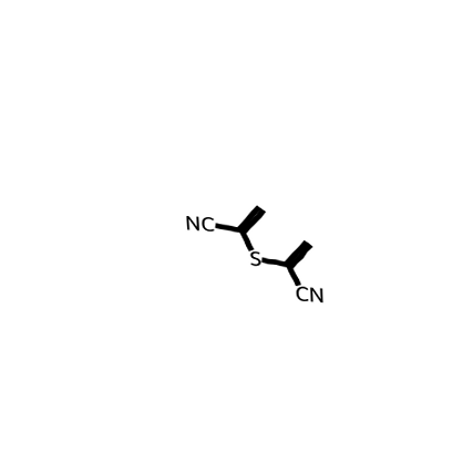 C=C(C#N)SC(=C)C#N